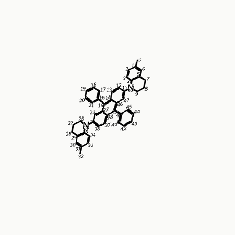 Cc1ccc2c(c1)CCCN2c1ccc2c(-c3ccccc3)c3cc(N4CCCc5cc(C)ccc54)ccc3c(-c3ccccc3)c2c1